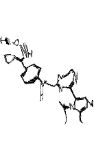 Cc1ncc(-c2ncnc(Nc3ccc(C(=O)NO)cc3)n2)n1C(C)C